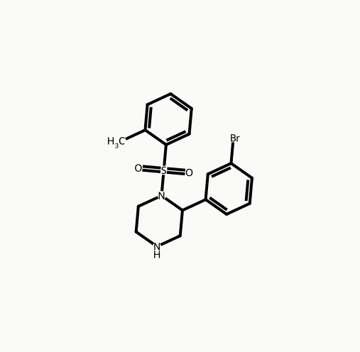 Cc1ccccc1S(=O)(=O)N1CCNCC1c1cccc(Br)c1